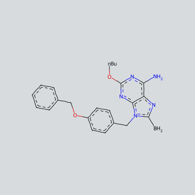 Bc1nc2c(N)nc(OCCCC)nc2n1Cc1ccc(OCc2ccccc2)cc1